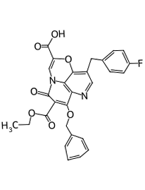 CCOC(=O)c1c(OCc2ccccc2)c2ncc(Cc3ccc(F)cc3)c3c2n(c1=O)C=C(C(=O)O)O3